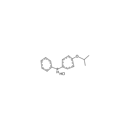 CC(C)Oc1ccc(Pc2ccccc2)cc1.Cl